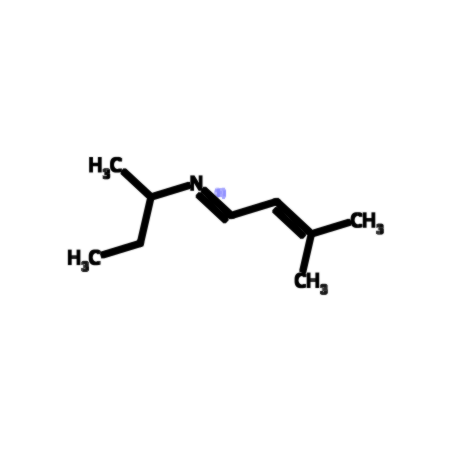 CCC(C)/N=C/C=C(C)C